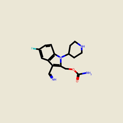 N=Cc1c(COC(N)=O)n(C2CCNCC2)c2ccc(F)cc12